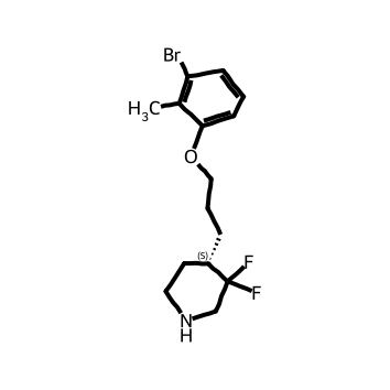 Cc1c(Br)cccc1OCCC[C@H]1CCNCC1(F)F